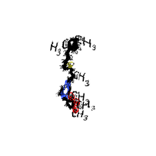 COc1ccc(CN2CCN(CCC(C)CCc3ccc(CCCc4ccc(C)cc4C)s3)CC2)c(OC)c1OC